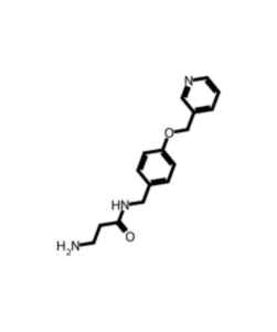 NCCC(=O)NCc1ccc(OCc2cccnc2)cc1